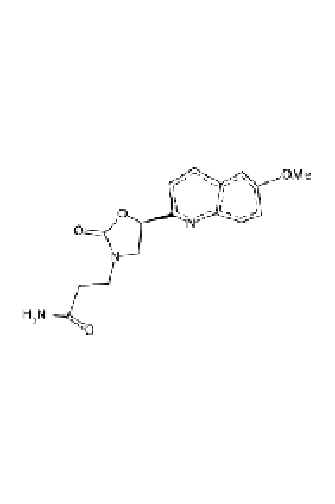 COc1ccc2nc([C@H]3CN(CCC(N)=O)C(=O)O3)ccc2c1